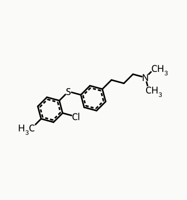 Cc1ccc(Sc2cccc(CCCN(C)C)c2)c(Cl)c1